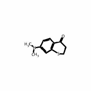 CN(C)c1ccc2c(c1)SCCC2=O